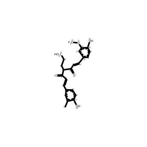 Cc1cc(/C=C/C(=O)C(CCC(=O)O)C(=O)/C=C/c2ccc(O)c(OC(F)(F)F)c2)ccc1O